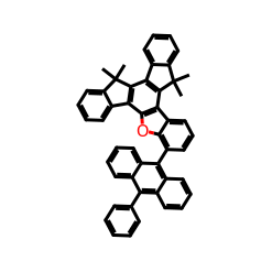 CC1(C)c2ccccc2-c2c1c1c(c3c2oc2c(-c4c5ccccc5c(-c5ccccc5)c5ccccc45)cccc23)C(C)(C)c2ccccc2-1